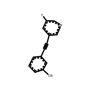 N#Cc1cccc(C#Cc2cncc(F)c2)c1